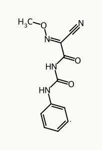 CON=C(C#N)C(=O)NC(=O)Nc1c[c]ccc1